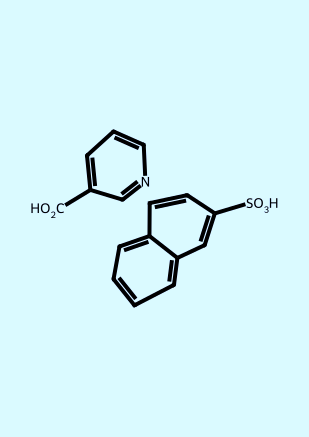 O=C(O)c1cccnc1.O=S(=O)(O)c1ccc2ccccc2c1